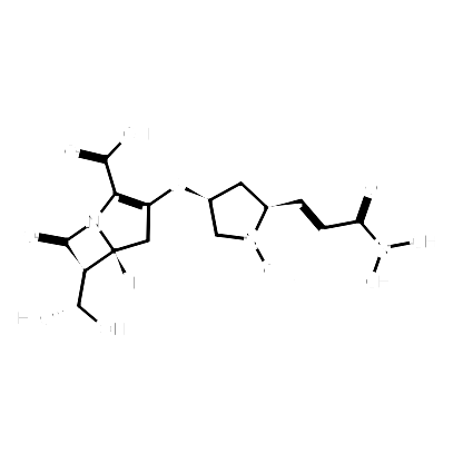 C[C@@H](O)[C@H]1C(=O)N2C(C(=O)O)=C(S[C@H]3C[C@@H](/C=C/C(=O)N(C)C)N(C)C3)C[C@H]12